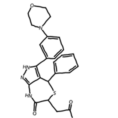 O=C(O)CC1SC(c2ccccc2)c2c(n[nH]c2-c2cccc(N3CCOCC3)c2)NC1=O